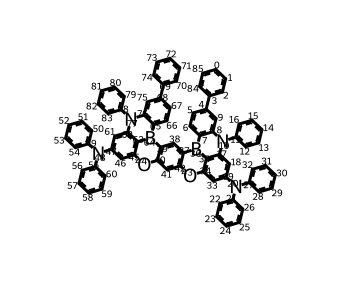 c1ccc(-c2ccc3c(c2)N(c2ccccc2)c2cc(N(c4ccccc4)c4ccccc4)cc4c2B3c2cc3c(cc2O4)Oc2cc(N(c4ccccc4)c4ccccc4)cc4c2B3c2ccc(-c3ccccc3)cc2N4c2ccccc2)cc1